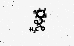 [CH2]S(=O)(=O)Cc1cnccn1